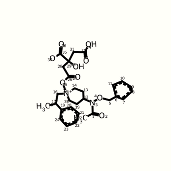 CC(=O)N(OCc1ccccc1)C1CC[N+](CC(C)c2ccccc2)(OC(=O)CC(O)(CC(=O)O)C(=O)[O-])CC1